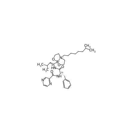 CC(C)CCCCCC[N+]12CCO[B-]1([C@H](CC(C)C)NC(=O)[C@H](Cc1ccccc1)NC(=O)c1cnccn1)OCC2